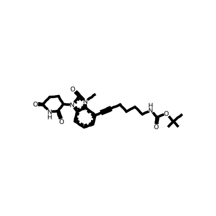 Cn1c(=O)n(C2CCC(=O)NC2=O)c2cccc(C#CCCCCNC(=O)OC(C)(C)C)c21